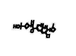 CC1CCN1c1nc2ncc(C(=O)NC3CC(C(C)(C)O)C3)cc2cc1Cl